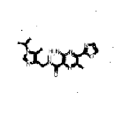 Cc1nc(C(=O)NCc2ncn(C(C)C)c2C)c(N)nc1-c1ncco1